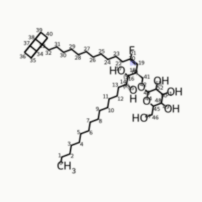 CCCCCCCCCCCCCC[C@@H](O)[C@@H](O)[C@@H](/C=C(/F)CCCCCCCCCCCC12C3C4C5C3C1C5C42)COC1OC(CO)C(O)C(O)C1O